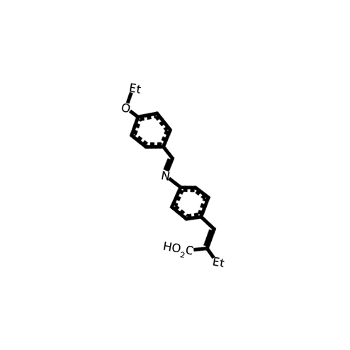 CCOc1ccc(C=Nc2ccc(C=C(CC)C(=O)O)cc2)cc1